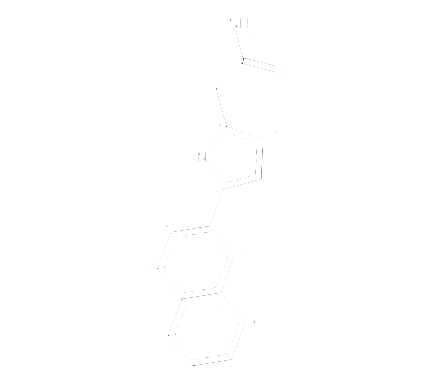 NC(=O)Cc1nc(-c2ccc3ccccc3c2)cs1